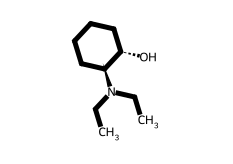 CCN(CC)[C@H]1CCCC[C@@H]1O